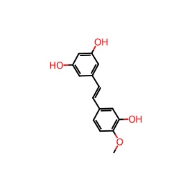 COc1ccc(C=Cc2cc(O)cc(O)c2)cc1O